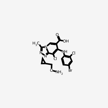 Cc1nnc2c(Cl)c(Nc3ccc(Br)cc3Cl)c(C(=O)O)cn12.NOCC1CC1